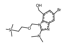 CN(C)c1nc2cc(Br)cc(CO)c2n1COCC[Si](C)(C)C